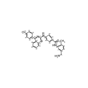 Cc1ccc(CN)cc1NC(=O)c1ccc(Nc2nc(-c3ccc(Cl)cc3)c3ccccc3n2)cc1